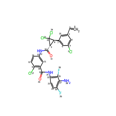 C=Cc1cc(Cl)cc([C@H]2[C@H](C(=O)Nc3ccc(Cl)c(C(=O)Nc4ccc(F)c(N)c4F)c3)C2(Cl)Cl)c1